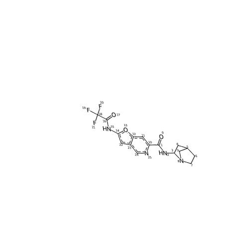 O=C(NC1CC2CCN1C2)c1cc2oc(NC(=O)C(F)(F)F)cc2cn1